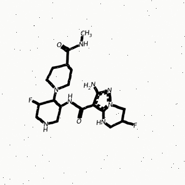 CNC(=O)C1CCN(C2C(F)CNCC2NC(=O)c2c(N)nn3c2NCC(F)C3)CC1